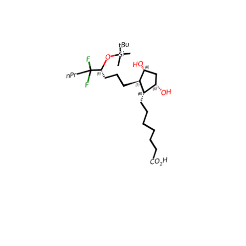 CCCC(F)(F)[C@@H](CCC[C@@H]1[C@@H](CCCCCCC(=O)O)[C@@H](O)C[C@H]1O)O[Si](C)(C)C(C)(C)C